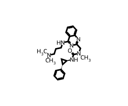 CN(C)CCCNc1nc(CN(C)C(=O)N[C@@H]2C[C@H]2c2ccccc2)nc2ccccc12